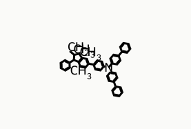 C=CC1C(c2ccccc2C)c2ccc(-c3ccc(N(c4ccc(-c5ccccc5)cc4)c4ccc(-c5ccccc5)cc4)cc3)cc2C1(C)C